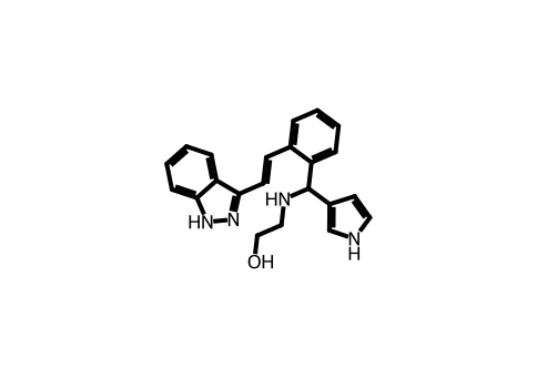 OCCNC(c1cc[nH]c1)c1ccccc1C=Cc1n[nH]c2ccccc12